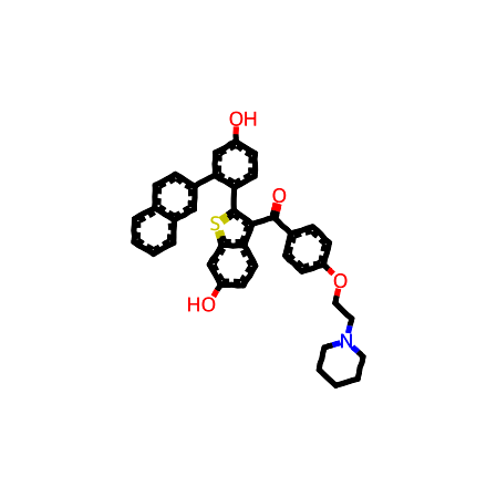 O=C(c1ccc(OCCN2CCCCC2)cc1)c1c(-c2ccc(O)cc2-c2ccc3ccccc3c2)sc2cc(O)ccc12